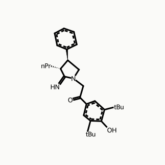 CCC[C@H]1C(=N)N(CC(=O)c2cc(C(C)(C)C)c(O)c(C(C)(C)C)c2)C[C@@H]1c1ccccc1